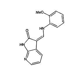 COc1ccccc1N/C=C1\C(=O)Nc2ncccc21